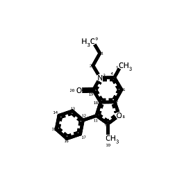 CCCn1c(C)cc2oc(C)c(-c3ccccc3)c2c1=O